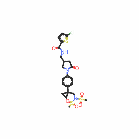 CS(=O)(=O)N(CC1(c2ccc(N3CC(CNC(=O)c4ccc(Cl)s4)CC3=O)cc2)CC1)S(C)(=O)=O